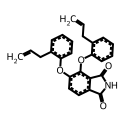 C=CCc1ccccc1Oc1ccc2c(c1Oc1ccccc1CC=C)C(=O)NC2=O